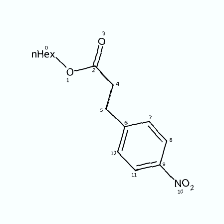 CCCCCCOC(=O)CCc1ccc([N+](=O)[O-])cc1